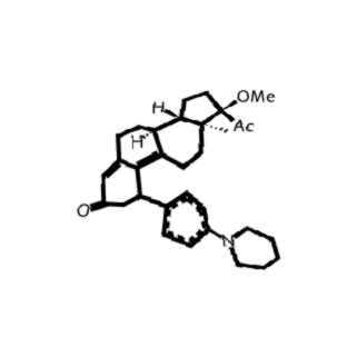 CO[C@]1(C(C)=O)CC[C@H]2[C@@H]3CCC4=CC(=O)CC(c5ccc(N6CCCCC6)cc5)C4=C3CC[C@@]21C